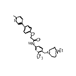 CCN1CCN(Cc2ccc(NC(=O)COc3ccc(-c4ccc(C)nc4)cc3)cc2C(F)(F)F)CC1